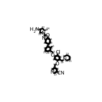 Cc1c(COc2cc(OCc3cncc(C#N)c3)c(CN3CCCCC3)cc2Cl)cccc1-c1ccc2oc(N3C[C@@H](N)C[C@H]3C)nc2c1